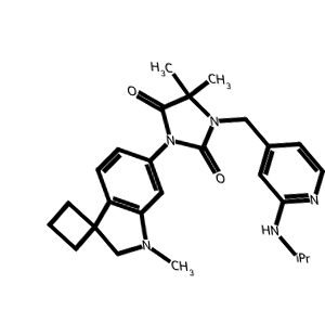 CC(C)Nc1cc(CN2C(=O)N(c3ccc4c(c3)N(C)CC43CCC3)C(=O)C2(C)C)ccn1